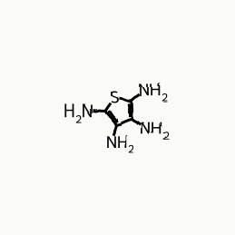 Nc1sc(N)c(N)c1N